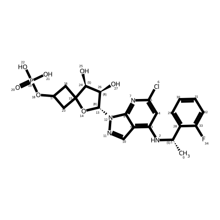 C[C@H](Nc1cc(Cl)nc2c1cnn2[C@@H]1OC2(CC(OP(=O)(O)O)C2)[C@@H](O)[C@H]1O)c1ccccc1F